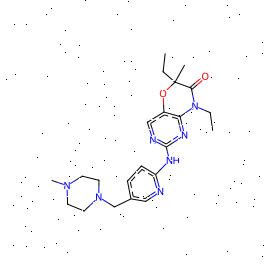 CCN1C(=O)C(C)(CC)Oc2cnc(Nc3ccc(CN4CCN(C)CC4)cn3)nc21